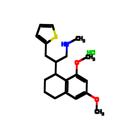 CNCC(Cc1cccs1)C1CCCc2cc(OC)cc(OC)c21.Cl